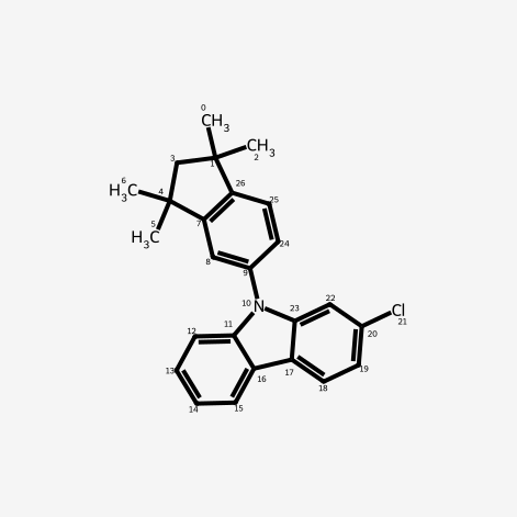 CC1(C)CC(C)(C)c2cc(-n3c4ccccc4c4ccc(Cl)cc43)ccc21